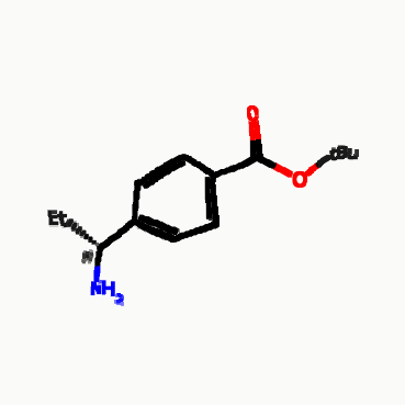 CC[C@@H](N)c1ccc(C(=O)OC(C)(C)C)cc1